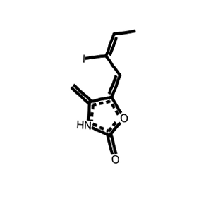 C=c1[nH]c(=O)o/c1=C/C(I)=C\C